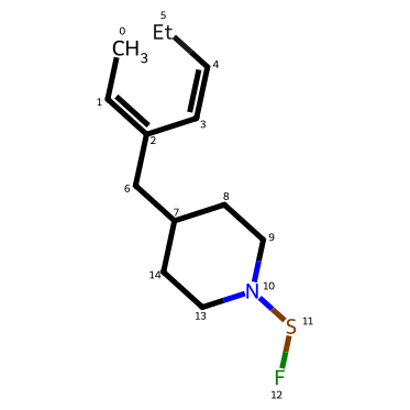 C/C=C(\C=C/CC)CC1CCN(SF)CC1